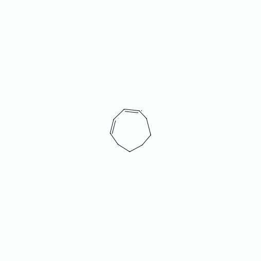 [C]1=CC=CCCCCC1